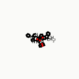 CC1(C)c2ccccc2-c2cc3c4cc(-c5nccc6c5c5c(-c7nc(-c8ccccc8)nc(-c8ccccc8)n7)nccc5n6-c5ccccc5)ccc4n(-c4ccccc4)c3cc21